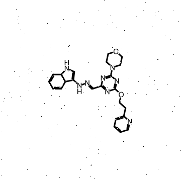 C1=CC2NC=C(N/N=C/c3nc(OCCc4ccccn4)nc(N4CCOCC4)n3)C2C=C1